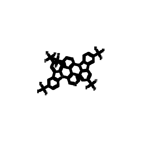 FC(F)(F)c1ccc(-n2c3ccc(C(F)(F)F)cc3c3cc(C(F)(F)F)ccc32)c(-c2ccncc2-n2c3ccc(C(F)(F)F)cc3c3cc(C(F)(F)F)ccc32)c1